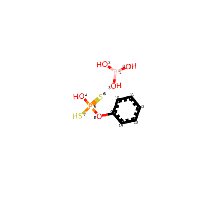 OB(O)O.OP(=S)(S)Oc1ccccc1